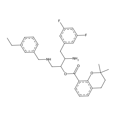 CCc1cccc(CNCC(OC(=O)c2cccc3c2OC(C)(C)CC3)C(N)Cc2cc(F)cc(F)c2)c1